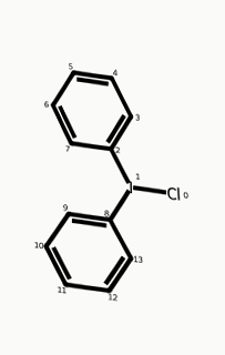 ClI(c1ccccc1)c1ccccc1